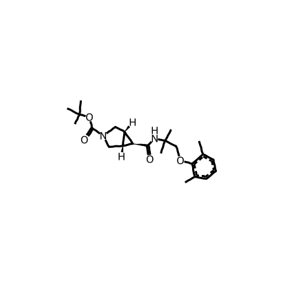 Cc1cccc(C)c1OCC(C)(C)NC(=O)[C@H]1[C@@H]2CN(C(=O)OC(C)(C)C)C[C@@H]21